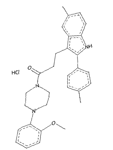 COc1ccccc1N1CCN(C(=O)CCc2c(-c3ccc(C)cc3)[nH]c3ccc(C)cc23)CC1.Cl